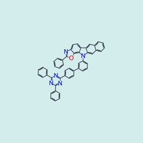 c1ccc(-c2nc(-c3ccccc3)nc(-c3ccc(-c4cccc(-n5c6cc7ccccc7cc6c6ccc7nc(-c8ccccc8)oc7c65)c4)cc3)n2)cc1